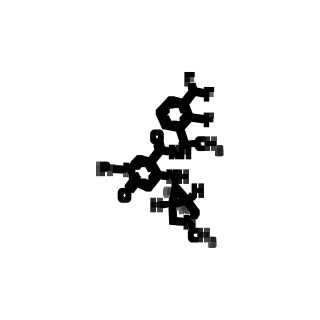 CC(C)n1cc(C(=O)N[C@H](C)c2cccc(C(F)F)c2F)c(N[C@@H]2[C@@H]3CN(C)C[C@@H]32)cc1=O